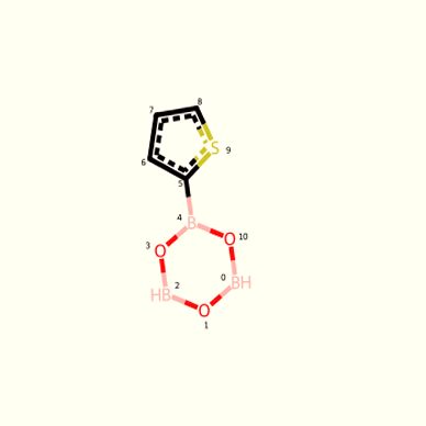 B1OBOB(c2cccs2)O1